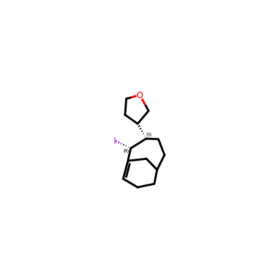 I[C@H]1C2=CCCC(CC[C@H]1C1CCOC1)C2